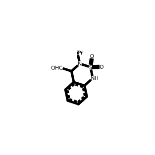 CC(C)N1C(C=O)c2ccccc2NS1(=O)=O